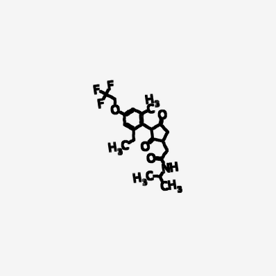 CCc1cc(OCC(F)(F)F)cc(C)c1C1C(=O)CC(CC(=O)NC(C)C)C1=O